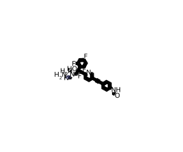 N/N=C\N(N)CC(O)(c1ccc(F)cc1F)C(F)(F)c1ccc(C#Cc2ccc(NC=O)cc2)cn1